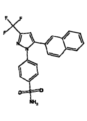 NS(=O)(=O)c1ccc(-n2nc(C(F)(F)F)cc2-c2ccc3ccccc3c2)cc1